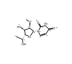 CO[C@@H]1[C@H](O)[C@@H](C(O)I)O[C@H]1n1ccc(=O)[nH]c1=O